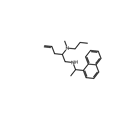 C=CCC(CNC(C)c1cccc2ccccc12)N(C)CCC